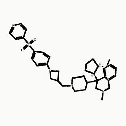 CO[C@H]1CCC[C@@H]1C1(C2CCN(CC3CN(c4ccc(S(=O)(=O)c5ccncc5)cc4)C3)CC2)CN(C)Cc2ccccc21